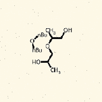 CC(O)COC(C)CO.CCCCOCCCC